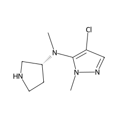 CN(c1c(Cl)cnn1C)[C@@H]1CCNC1